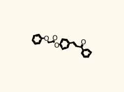 O=C(COc1ccccc1)Oc1ccc(/C=C/C(=O)c2ccccc2)cc1